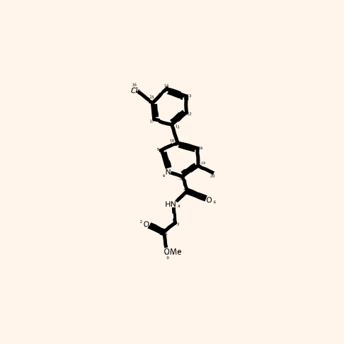 COC(=O)CNC(=O)c1ncc(-c2cccc(Cl)c2)cc1C